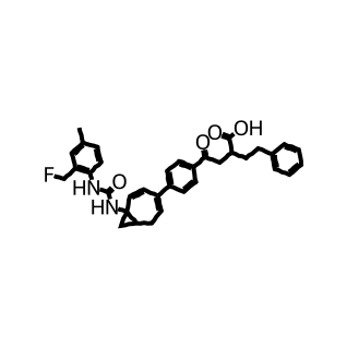 Cc1ccc(NC(=O)NC23C=CC(c4ccc(C(=O)CC(CCc5ccccc5)C(=O)O)cc4)=CCC2C3)c(CF)c1